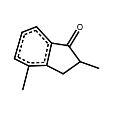 Cc1cccc2c1CC(C)C2=O